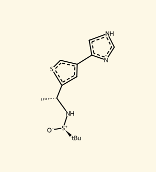 C[C@@H](N[S@+]([O-])C(C)(C)C)c1cc(-c2c[nH]cn2)cs1